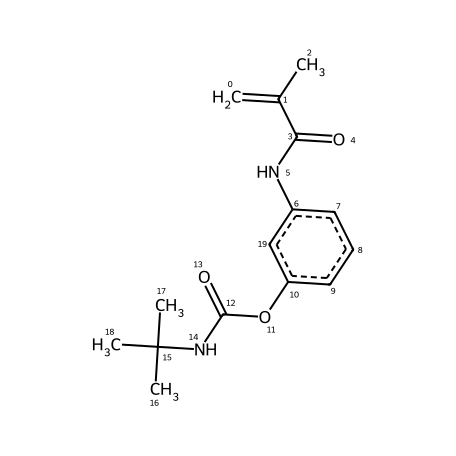 C=C(C)C(=O)Nc1cccc(OC(=O)NC(C)(C)C)c1